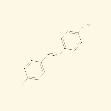 COc1ccc(/N=C/c2ccc(Br)cc2)cc1